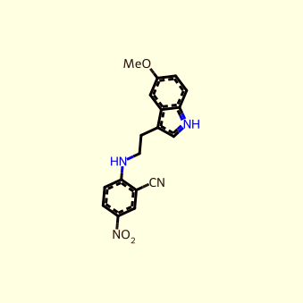 COc1ccc2[nH]cc(CCNc3ccc([N+](=O)[O-])cc3C#N)c2c1